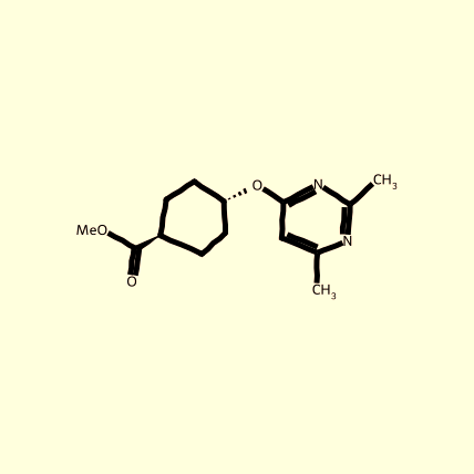 COC(=O)[C@H]1CC[C@H](Oc2cc(C)nc(C)n2)CC1